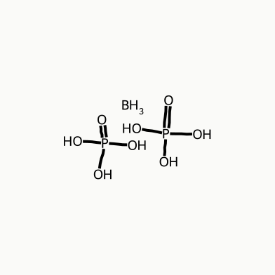 B.O=P(O)(O)O.O=P(O)(O)O